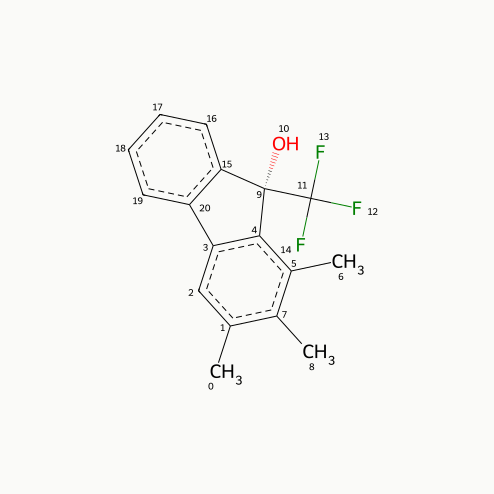 Cc1cc2c(c(C)c1C)[C@](O)(C(F)(F)F)c1ccccc1-2